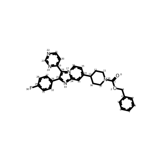 O=C(OCc1ccccc1)N1CCC(c2ccn3c(-c4ccncn4)c(-c4ccc(F)cc4)nc3c2)CC1